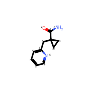 NC(=O)C1([CH]c2ccccn2)CC1